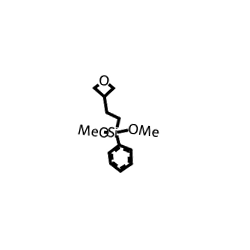 CO[Si](CCC1COC1)(OC)c1ccccc1